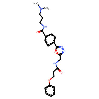 CN(C)CCCNC(=O)c1ccc(-c2nnc(CNC(=O)CCOc3ccccc3)o2)cc1